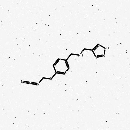 [N-]=[N+]=NCCc1ccc(CNCc2c[nH]nn2)cc1